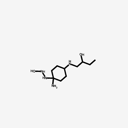 CCC(O)CNC1CCC(N)(NNO)CC1